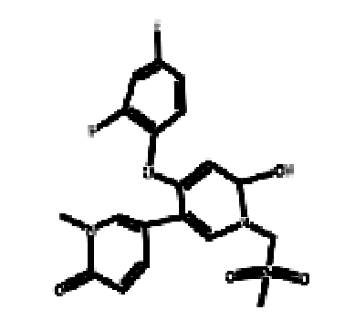 Cn1cc(C2=CN(CS(C)(=O)=O)C(O)C=C2Oc2ccc(F)cc2F)ccc1=O